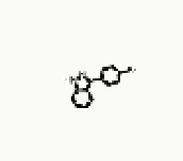 Brc1ccc(-c2n[nH]c3ccccc23)cc1